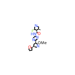 COc1ncc(-c2ccco2)cc1-c1cnc(NC(=O)c2c(C)cncc2F)cn1